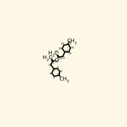 C=C(CC1CCC(C)CC1)OC(=C)CC1CCC(C)CC1